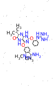 CC(C)C1N=C2NC(Oc3ccccc3NC(=N)N)=NC(Oc3ccc(C(=N)N)c(N(C)C)c3)=C2NC1=O